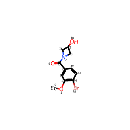 CCOc1cc(C(=O)N2CC(O)C2)ccc1Br